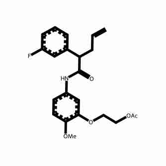 C=CCC(C(=O)Nc1ccc(OC)c(OCCOC(C)=O)c1)c1cccc(F)c1